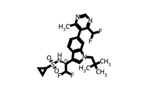 Cc1ncnc(C(F)F)c1-c1ccc2c([C@H](NS(=O)(=O)C3CC3)C(F)F)cn(CC(C)(C)C)c2c1